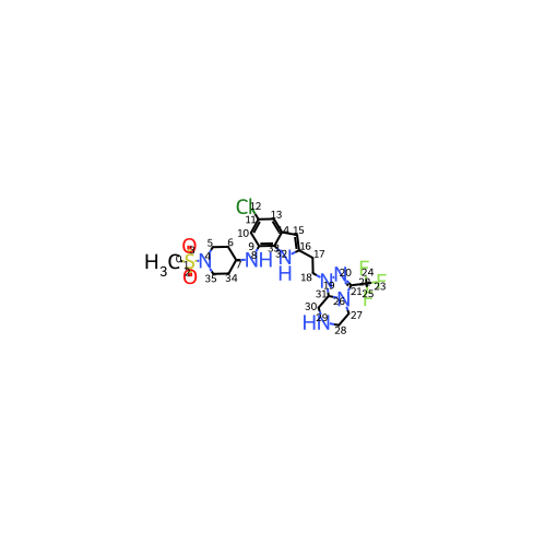 CS(=O)(=O)N1CCC(Nc2cc(Cl)cc3cc(CCN4N=C(C(F)(F)F)N5CCNCC45)[nH]c23)CC1